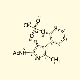 CC(=O)Nc1nc(C)c(-c2ccccc2)s1.O=S(=O)(Cl)Cl